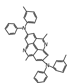 Cc1cccc(N(c2ccccc2)c2cc3nc(C)c4cc(N(c5ccccc5)c5cccc(C)c5)cc5nc(C)c(c2)c3c54)c1